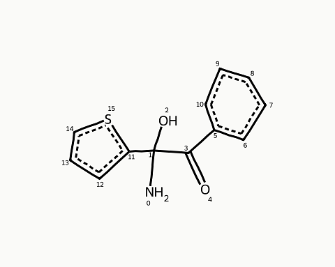 NC(O)(C(=O)c1ccccc1)c1cccs1